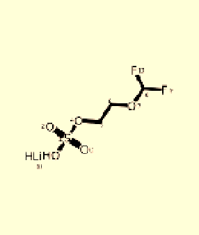 O=S(=O)(O)OCCOC(F)F.[LiH]